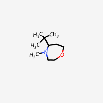 CN1CCOCCC1C(C)(C)C